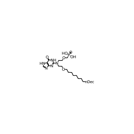 CCCCCCCCCCCCCCCCCCOCCN(CCOCP(=O)(O)O)c1nc2nc[nH]c2c(=O)[nH]1